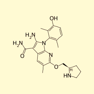 Cc1cc2c(C(N)=O)c(N)n(-c3c(C)ccc(O)c3C)c2nc1OC[C@H]1CCCN1